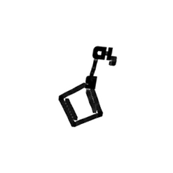 C[Si]1=CC=C1